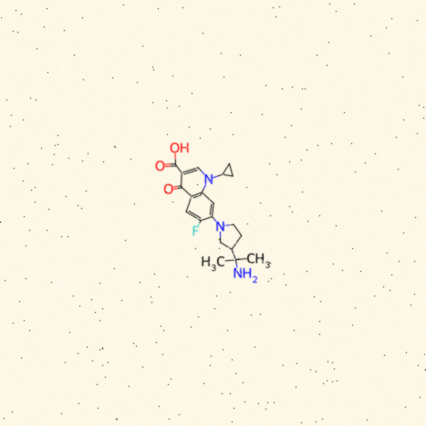 CC(C)(N)C1CCN(c2cc3c(cc2F)c(=O)c(C(=O)O)cn3C2CC2)C1